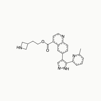 Cc1cccc(-c2[nH]ncc2-c2ccc3nccc(C(=O)OCCC4CNC4)c3c2)n1